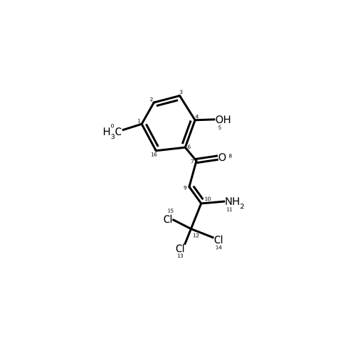 Cc1ccc(O)c(C(=O)/C=C(\N)C(Cl)(Cl)Cl)c1